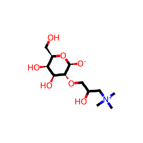 C[N+](C)(C)CC(O)CO[C@@H]1[C@@H](O)[C@@H](O)[C@@H](CO)O[C@H]1[O-]